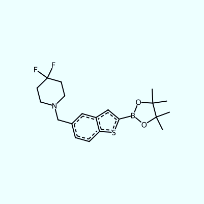 CC1(C)OB(c2cc3cc(CN4CCC(F)(F)CC4)ccc3s2)OC1(C)C